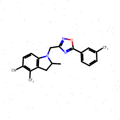 [C-]#[N+]c1ccc2c(c1C(F)(F)F)CC(C)N2Cc1noc(-c2cccc(C(F)(F)F)c2)n1